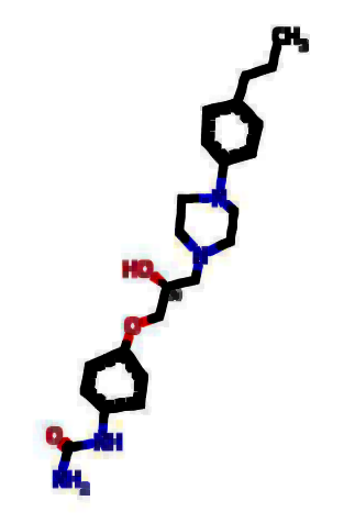 CCCc1ccc(N2CCN(C[C@H](O)COc3ccc(NC(N)=O)cc3)CC2)cc1